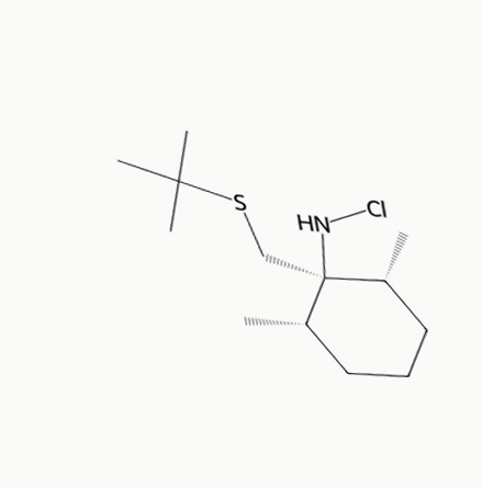 C[C@@H]1CCC[C@H](C)[C@@]1(CSC(C)(C)C)NCl